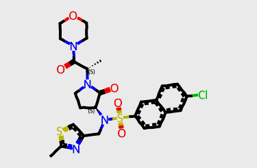 Cc1nc(CN([C@H]2CCN([C@@H](C)C(=O)N3CCOCC3)C2=O)S(=O)(=O)c2ccc3cc(Cl)ccc3c2)cs1